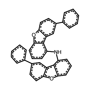 c1ccc(-c2ccc3oc4cccc(Nc5cccc6oc7ccc(-c8ccccc8)cc7c56)c4c3c2)cc1